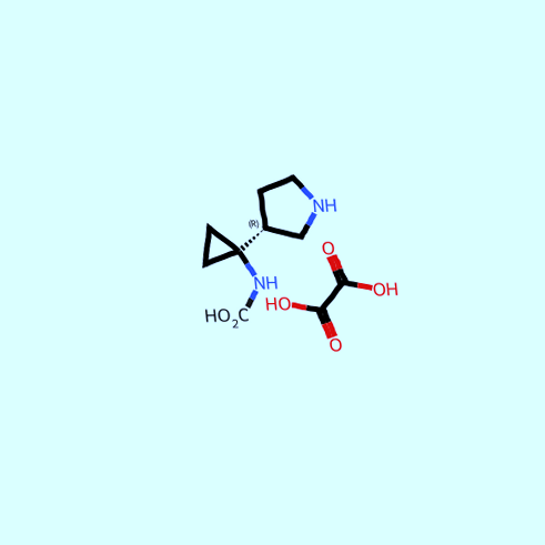 O=C(O)C(=O)O.O=C(O)NC1([C@@H]2CCNC2)CC1